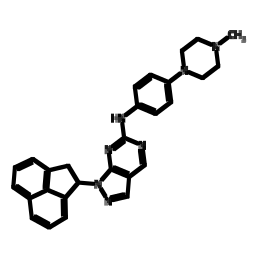 CN1CCN(c2ccc(Nc3ncc4cnn(C5Cc6cccc7cccc5c67)c4n3)cc2)CC1